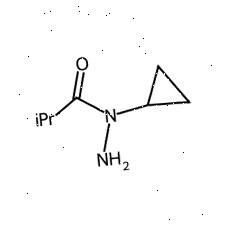 CC(C)C(=O)N(N)C1CC1